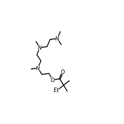 CCC(C)(C)C(=O)OCCN(C)CCN(C)CCN(C)C